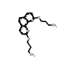 CCCCOc1ccc2ccc3ccc(OCCCC)nc3c2n1